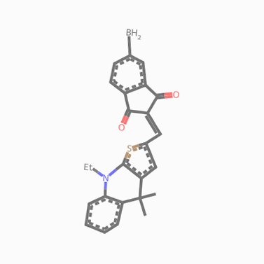 Bc1ccc2c(c1)C(=O)/C(=C/c1cc3c(s1)N(CC)c1ccccc1C3(C)C)C2=O